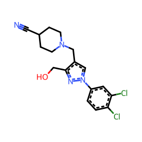 N#CC1CCN(Cc2cn(-c3ccc(Cl)c(Cl)c3)nc2CO)CC1